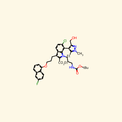 CCOC(=O)c1c(CCCOc2cccc3cc(F)ccc23)c2ccc(Cl)c(-c3c(CO)nn(C)c3CC)c2n1CCCNC(=O)OC(C)(C)C